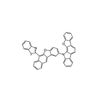 c1ccc2c(-c3nc4ccccc4s3)c3oc4ccc(-n5c6ccccc6c6ccc7c8ccccc8oc7c65)cc4c3cc2c1